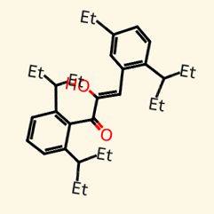 CCc1ccc(C(CC)CC)c(C=C(O)C(=O)c2c(C(CC)CC)cccc2C(CC)CC)c1